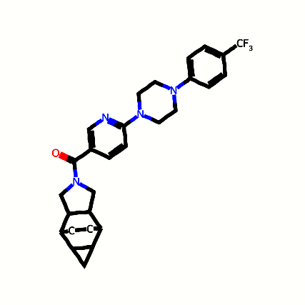 O=C(c1ccc(N2CCN(c3ccc(C(F)(F)F)cc3)CC2)nc1)N1CC2C3CCC(C4CC34)C2C1